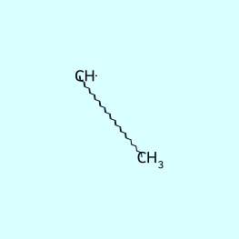 [CH]=C/C=C/C=C/C=C/C=C/C=C/C=C/C=C/C=C/C=C/CCCCCC